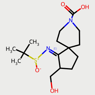 CC(C)(C)[S+]([O-])/N=C1\C(CO)CCC12CCN(C(=O)O)CC2